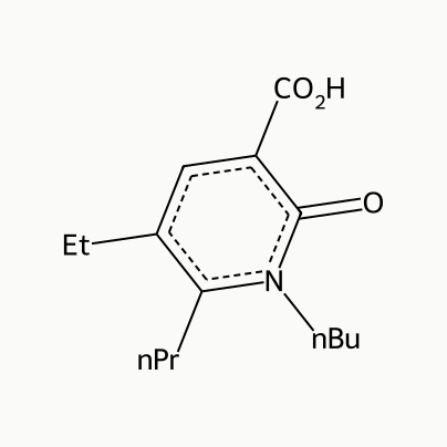 CCCCn1c(CCC)c(CC)cc(C(=O)O)c1=O